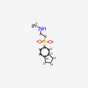 CC(C)NCCS(=O)(=O)c1ccc2c(c1)CCC2